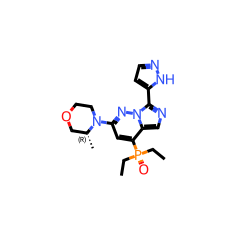 CCP(=O)(CC)c1cc(N2CCOC[C@H]2C)nn2c(-c3ccn[nH]3)ncc12